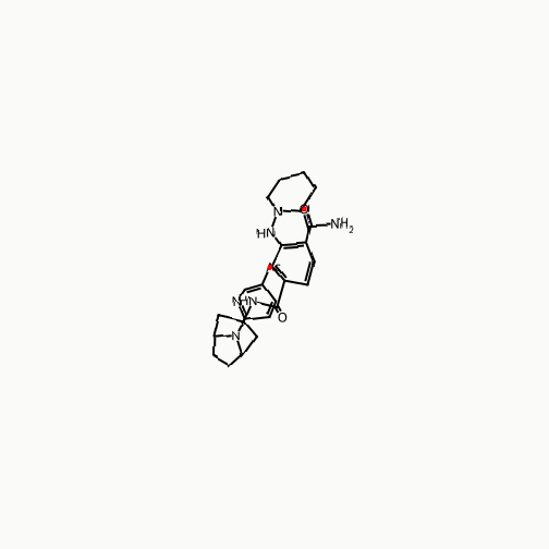 CC(=O)c1ccc(N2C3CCC2CC(NC(=O)c2ccc(C(N)=O)c(NN4CCCCC4)c2)C3)nc1